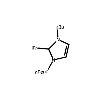 CCCCCN1C=CN(CCCC)C1C(C)C